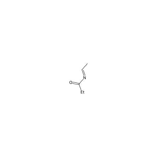 CC=NC(=O)CC